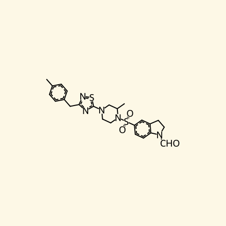 Cc1ccc(Cc2nsc(N3CCN(S(=O)(=O)c4ccc5c(c4)CCN5C=O)C(C)C3)n2)cc1